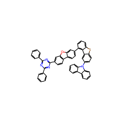 c1ccc(-c2nc(-c3ccccc3)nc(-c3ccc4c(c3)oc3cc(-c5cccc6sc7ccc(-n8c9ccccc9c9ccccc98)cc7c56)ccc34)n2)cc1